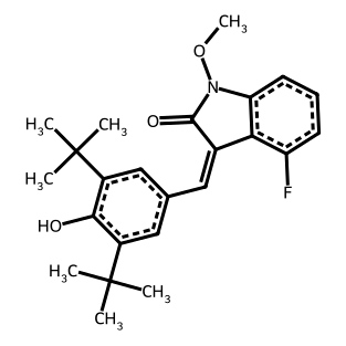 CON1C(=O)C(=Cc2cc(C(C)(C)C)c(O)c(C(C)(C)C)c2)c2c(F)cccc21